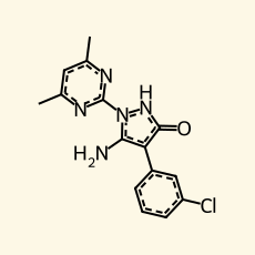 Cc1cc(C)nc(-n2[nH]c(=O)c(-c3cccc(Cl)c3)c2N)n1